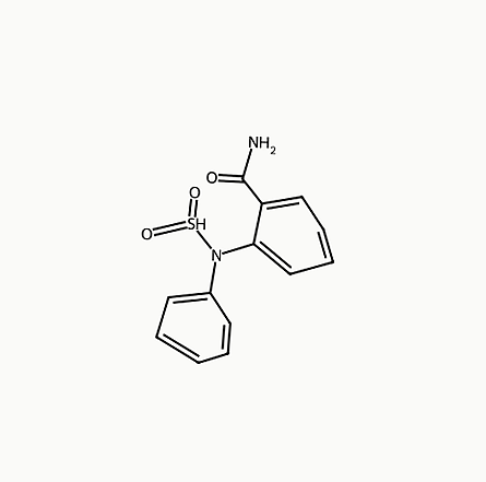 NC(=O)c1ccccc1N(c1ccccc1)[SH](=O)=O